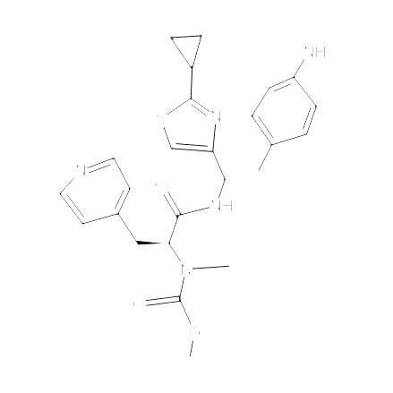 COC(=O)N(C)[C@@H](Cc1ccncc1)C(=O)N[C@@H](Cc1ccc(N)cc1)c1csc(C2CC2)n1